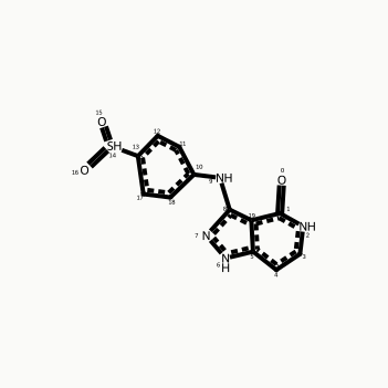 O=c1[nH]ccc2[nH]nc(Nc3ccc([SH](=O)=O)cc3)c12